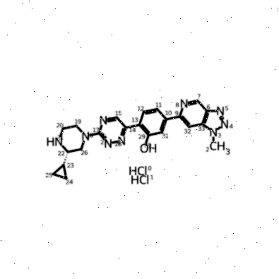 Cl.Cl.Cn1nnc2cnc(-c3ccc(-c4cnc(N5CCN[C@@H](C6CC6)C5)nn4)c(O)c3)cc21